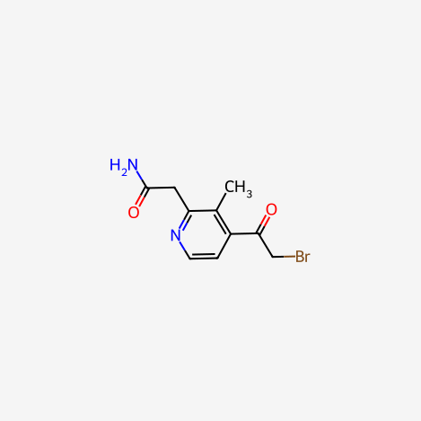 Cc1c(C(=O)CBr)ccnc1CC(N)=O